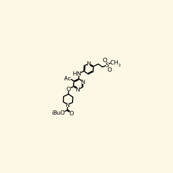 CC(=O)c1c(Nc2ccc(CCS(C)(=O)=O)nc2)ncnc1OC1CCN(C(=O)OCC(C)C)CC1